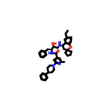 CCc1ccc2c(c1)[C@@H](NC[C@H](O)[C@H](Cc1ccccc1)NC(=O)c1cc(C)nc(N3CCC(c4ccccc4)CC3)c1)CC1(CCCC1)O2